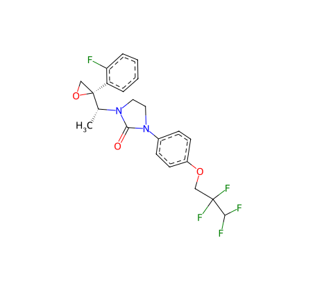 C[C@@H](N1CCN(c2ccc(OCC(F)(F)C(F)F)cc2)C1=O)[C@]1(c2ccccc2F)CO1